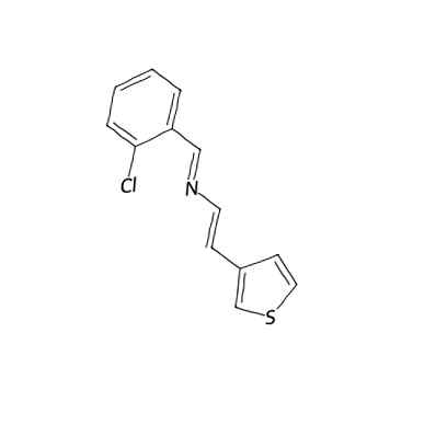 Clc1ccccc1/C=N/C=C/c1ccsc1